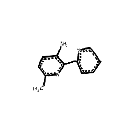 Cc1ccc(N)c(-c2ccccn2)n1